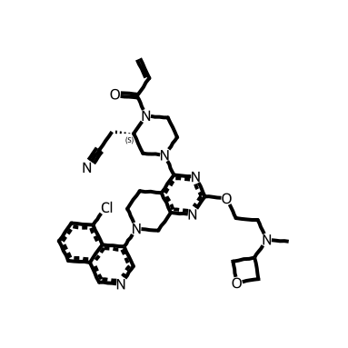 C=CC(=O)N1CCN(c2nc(OCCN(C)C3COC3)nc3c2CCN(c2cncc4cccc(Cl)c24)C3)C[C@@H]1CC#N